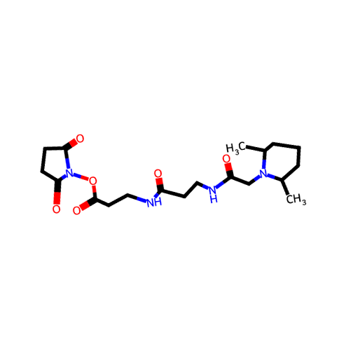 CC1CCCC(C)N1CC(=O)NCCC(=O)NCCC(=O)ON1C(=O)CCC1=O